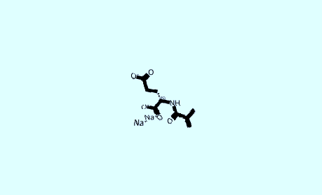 C=C(C)C(=O)N[C@@H](CCC(=O)[O-])C(=O)[O-].[Na+].[Na+]